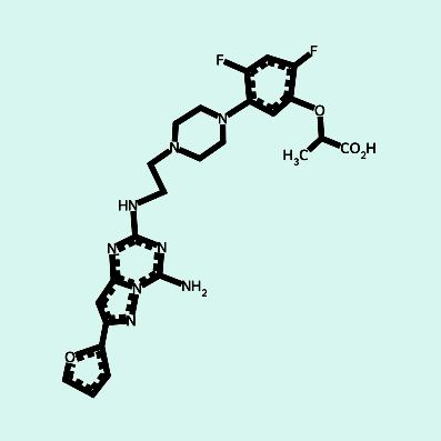 CC(Oc1cc(N2CCN(CCNc3nc(N)n4nc(-c5ccco5)cc4n3)CC2)c(F)cc1F)C(=O)O